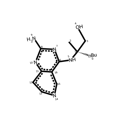 CCCC[C@](C)(CO)Nc1nc(N)nc2ccncc12